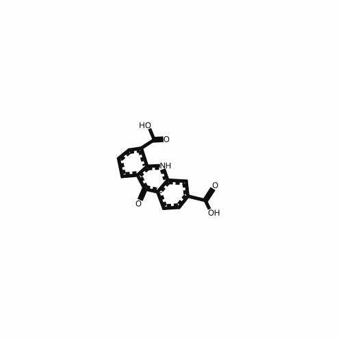 O=C(O)c1ccc2c(=O)c3cccc(C(=O)O)c3[nH]c2c1